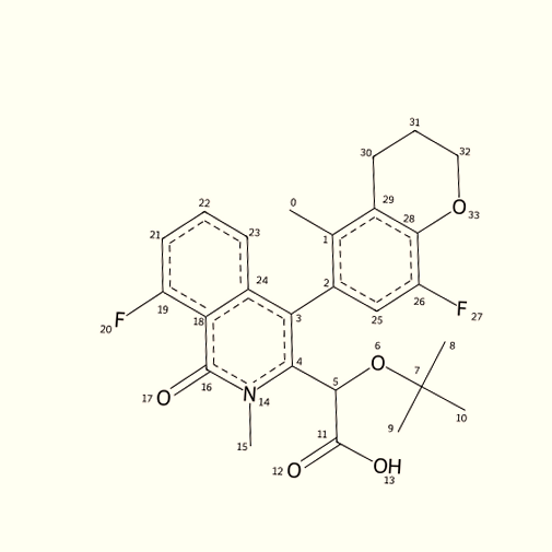 Cc1c(-c2c(C(OC(C)(C)C)C(=O)O)n(C)c(=O)c3c(F)cccc23)cc(F)c2c1CCCO2